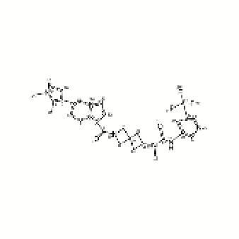 Cc1c(-c2ccc3c(C(=O)N4CC5(CC(N(C)C(=O)Nc6cncc(C(F)(F)F)c6)C5)C4)cnn3c2)cnn1C